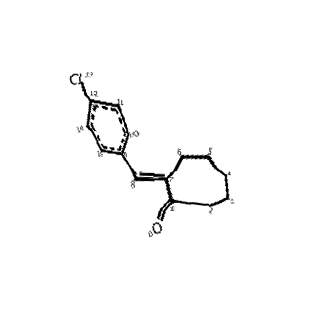 O=C1CCCCCC1=Cc1ccc(Cl)cc1